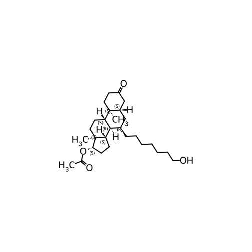 CC(=O)O[C@H]1CC[C@H]2[C@@H]3[C@H](CCCCCCCO)C[C@H]4CC(=O)CC[C@]4(C)[C@H]3CC[C@]12C